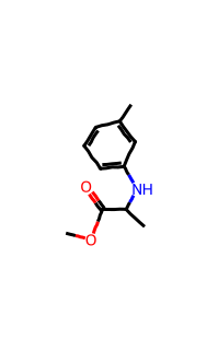 COC(=O)C(C)Nc1cccc(C)c1